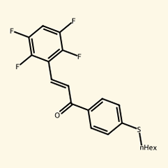 CCCCCCSc1ccc(C(=O)C=Cc2c(F)c(F)cc(F)c2F)cc1